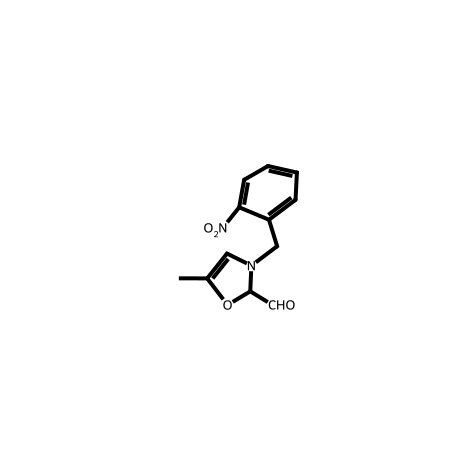 CC1=CN(Cc2ccccc2[N+](=O)[O-])C(C=O)O1